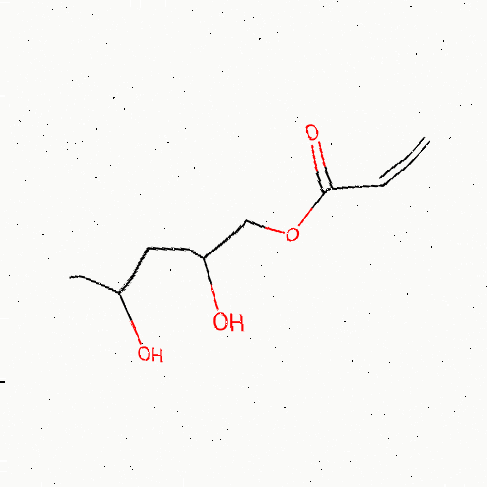 C=CC(=O)OCC(O)CC(C)O